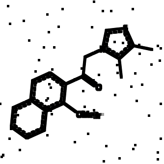 COc1c(C(=O)C[n+]2csc(C)c2C)ccc2ccccc12.[Br-]